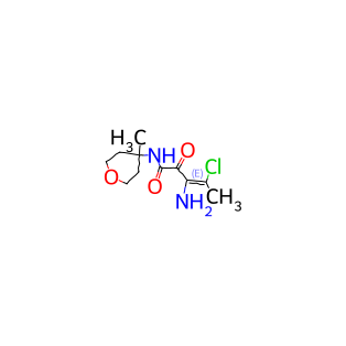 C/C(Cl)=C(\N)C(=O)C(=O)NC1(C)CCOCC1